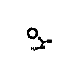 NNC(=O)O.c1ccccc1